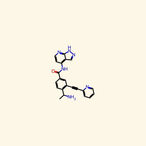 CC(N)c1ccc(C(=O)Nc2ccnc3[nH]ncc23)cc1C#Cc1ccccn1